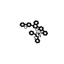 c1ccc(-c2nc(-n3c4ccccc4c4ccc5c(oc6cc(-c7ccc8c(c7)oc7ccccc78)c7ccccc7c65)c43)nc3c2sc2ccccc23)cc1